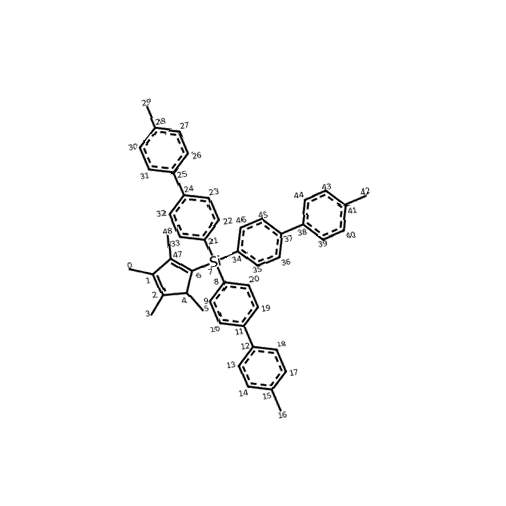 CC1=C(C)C(C)C([Si](c2ccc(-c3ccc(C)cc3)cc2)(c2ccc(-c3ccc(C)cc3)cc2)c2ccc(-c3ccc(C)cc3)cc2)=C1C